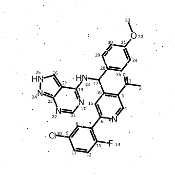 C=C(C)c1cnc(-c2cc(Cl)ccc2F)cc1C(Nc1ncnc2n[nH]cc12)c1ccc(OC)cc1